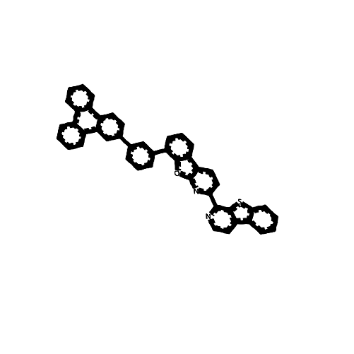 c1cc(-c2ccc3c4ccccc4c4ccccc4c3c2)cc(-c2cccc3c2oc2nc(-c4nccc5c4sc4ccccc45)ccc23)c1